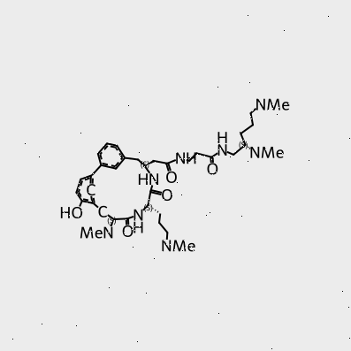 CNCCC[C@@H](CNC(=O)CCNC(=O)C[C@@H]1Cc2cccc(c2)-c2ccc(O)c(c2)C[C@H](NC)C(=O)N[C@@H](CCCNC)C(=O)N1)NC